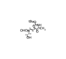 CC(NC(=O)OC(C)(C)C)C(=O)SC=CN(C=O)CCO